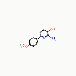 Nc1nc(-c2ccc(OC(F)(F)F)cc2)ccc1O